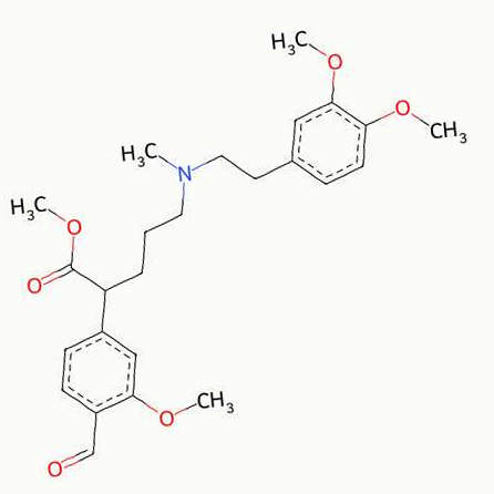 COC(=O)C(CCCN(C)CCc1ccc(OC)c(OC)c1)c1ccc(C=O)c(OC)c1